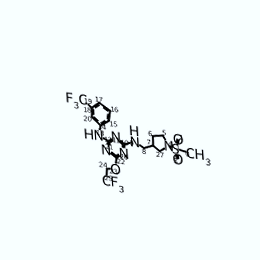 CS(=O)(=O)N1CCC(CNc2nc(Nc3cccc(C(F)(F)F)c3)nc(OCC(F)(F)F)n2)C1